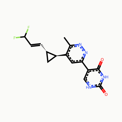 Cc1nnc(-c2c[nH]c(=O)[nH]c2=O)cc1[C@H]1C[C@@H]1/C=C/C(F)F